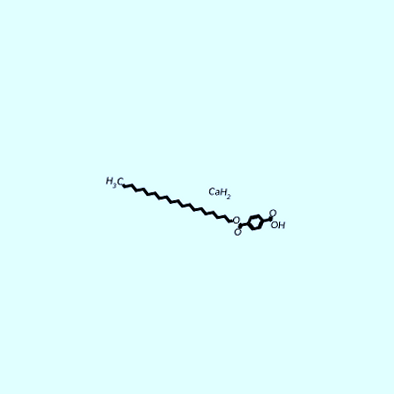 CCCCCCCCCCCCCCCCCCCCOC(=O)c1ccc(C(=O)O)cc1.[CaH2]